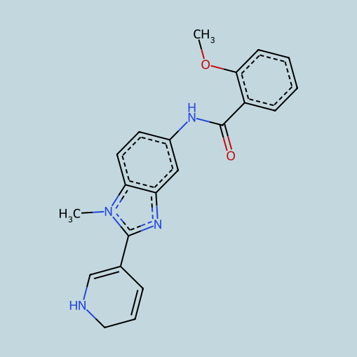 COc1ccccc1C(=O)Nc1ccc2c(c1)nc(C1=CNCC=C1)n2C